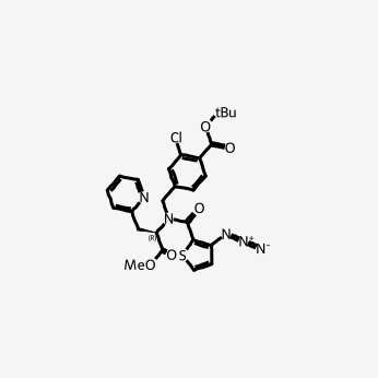 COC(=O)[C@@H](Cc1ccccn1)N(Cc1ccc(C(=O)OC(C)(C)C)c(Cl)c1)C(=O)c1sccc1N=[N+]=[N-]